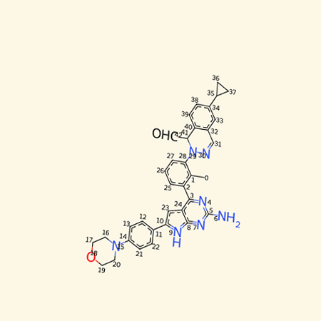 Cc1c(-c2nc(N)nc3[nH]c(-c4ccc(N5CCOCC5)cc4)cc23)cccc1N1N=Cc2cc(C3CC3)ccc2C1C=O